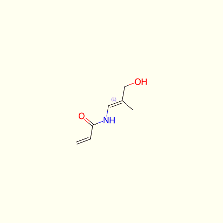 C=CC(=O)N/C=C(\C)CO